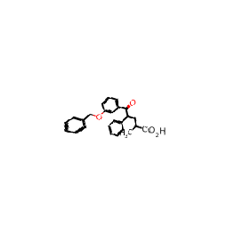 CC(CC(C(=O)c1cccc(OCc2ccccc2)c1)c1ccccc1)C(=O)O